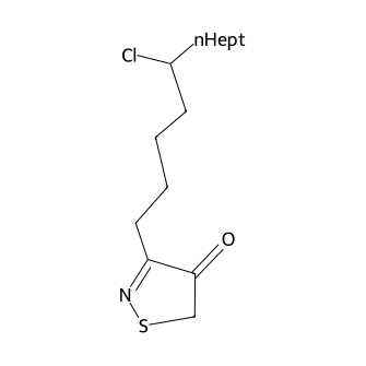 CCCCCCCC(Cl)CCCCC1=NSCC1=O